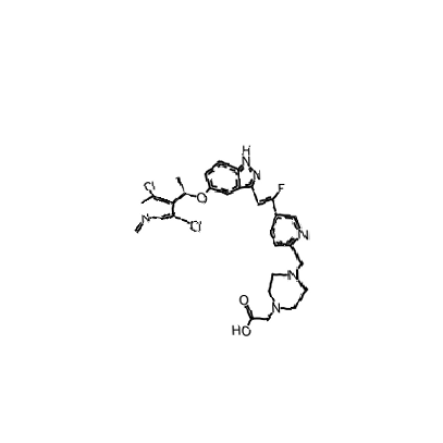 C=N/C=C(Cl)\C(=C(/C)Cl)[C@@H](C)Oc1ccc2[nH]nc(/C=C(\F)c3ccc(CN4CCN(CC(=O)O)CC4)nc3)c2c1